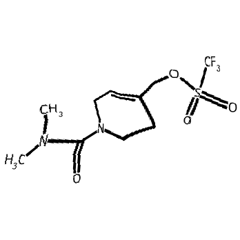 CN(C)C(=O)N1CC=C(OS(=O)(=O)C(F)(F)F)CC1